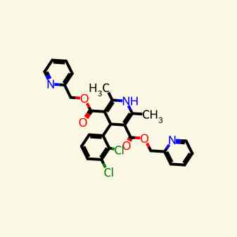 CC1=C(C(=O)OCc2ccccn2)C(c2cccc(Cl)c2Cl)C(C(=O)OCc2ccccn2)=C(C)N1